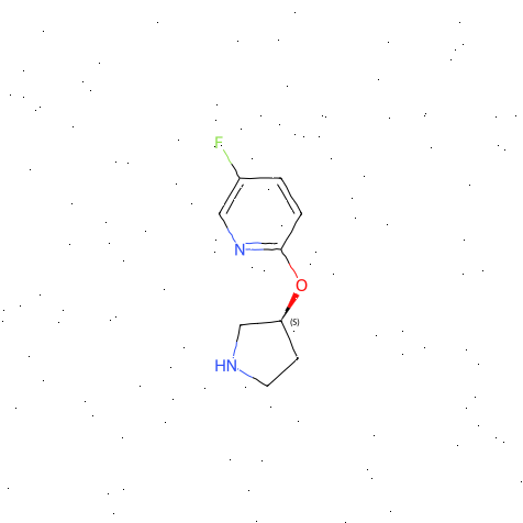 Fc1ccc(O[C@H]2CCNC2)nc1